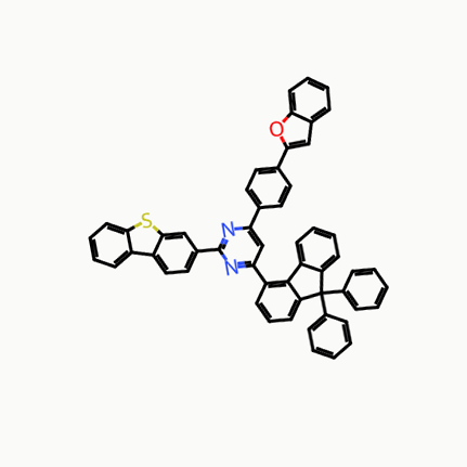 c1ccc(C2(c3ccccc3)c3ccccc3-c3c(-c4cc(-c5ccc(-c6cc7ccccc7o6)cc5)nc(-c5ccc6c(c5)sc5ccccc56)n4)cccc32)cc1